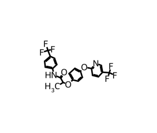 CC(Oc1ccc(Oc2ccc(C(F)(F)F)cn2)cc1)C(=O)Nc1ccc(C(F)(F)F)cc1